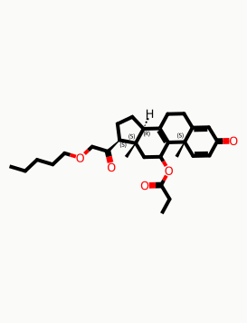 CCCCCOCC(=O)[C@H]1CC[C@H]2C3=C(C(OC(=O)CC)C[C@]12C)[C@@]1(C)C=CC(=O)C=C1CC3